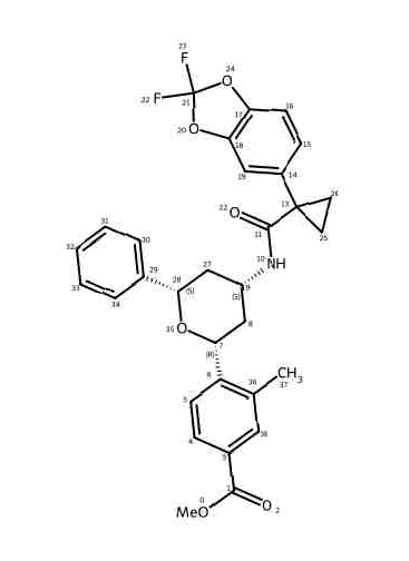 COC(=O)c1ccc([C@H]2C[C@@H](NC(=O)C3(c4ccc5c(c4)OC(F)(F)O5)CC3)C[C@@H](c3ccccc3)O2)c(C)c1